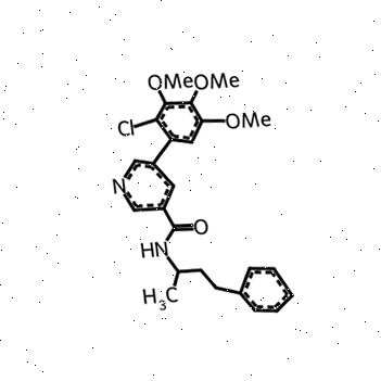 COc1cc(-c2cncc(C(=O)NC(C)CCc3ccccc3)c2)c(Cl)c(OC)c1OC